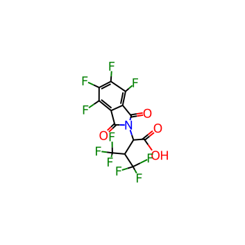 O=C(O)C(C(C(F)(F)F)C(F)(F)F)N1C(=O)c2c(F)c(F)c(F)c(F)c2C1=O